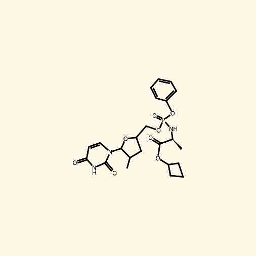 CC1CC(COP(=O)(N[C@@H](C)C(=O)OC2CCC2)Oc2ccccc2)OC1n1ccc(=O)[nH]c1=O